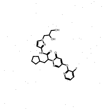 O=C(Nc1ccn(CC(O)CO)n1)C(CC1CCCC1)n1ncc(Oc2ncccc2F)cc1=O